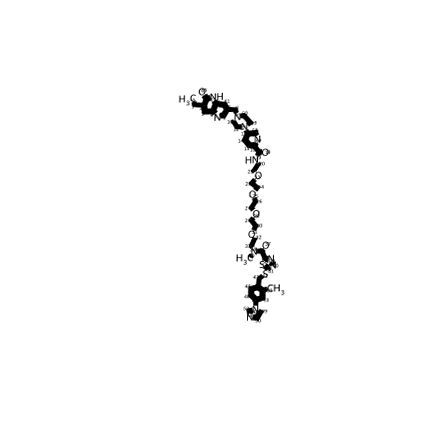 CCc1cc2ncc(CN3CCN(c4ccc(C(=O)NCCOCCOCCOCCOCCN(C)C(=O)c5nnc(SCc6ccc(-n7ccnc7)cc6C)s5)nc4)CC3)cc2[nH]c1=O